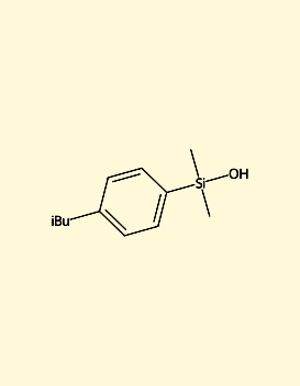 CCC(C)c1ccc([Si](C)(C)O)cc1